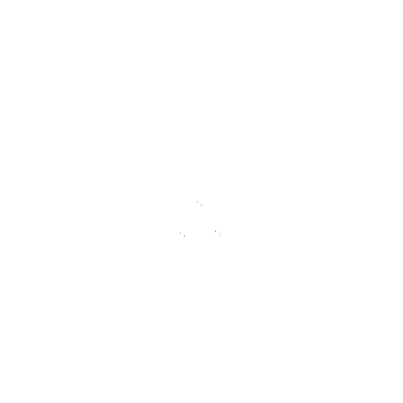 CC1(C)c2ccccc2-c2cc3c(cc21)C(c1ccc(Oc2nc(-c4ccc(-c5ccccc5)cc4)nc(-c4ccc(-c5ccccc5)cc4)n2)cc1)c1cc2c(cc1-3)-c1ccccc1C2(C)C